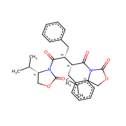 CC(C)[C@H]1COC(=O)N1C(=O)[C@H](Cc1ccccc1)[C@@H](Cc1ccccc1)C(=O)N1C(=O)OC[C@@H]1C(C)C